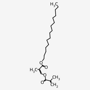 C=C(C)C(=O)OC=C(C)C(=O)OCCCCCCCCCCCCCCCC